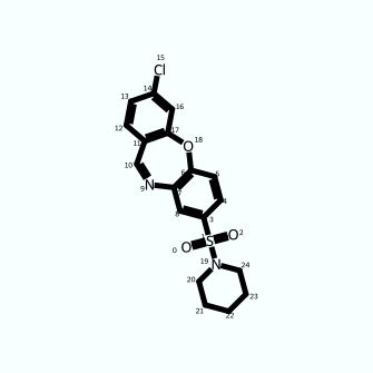 O=S(=O)(c1ccc2c(c1)N=Cc1ccc(Cl)cc1O2)N1CCCCC1